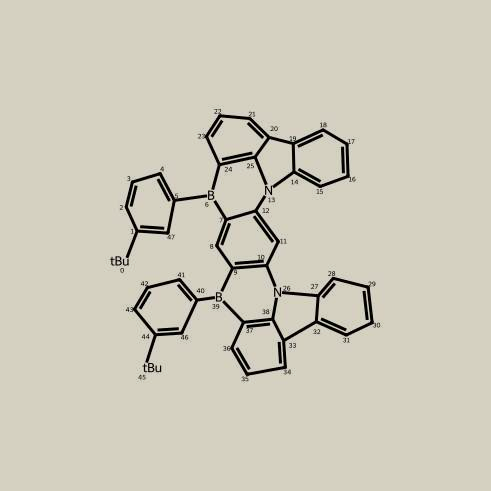 CC(C)(C)c1cccc(B2c3cc4c(cc3-n3c5ccccc5c5cccc2c53)-n2c3ccccc3c3cccc(c32)B4c2cccc(C(C)(C)C)c2)c1